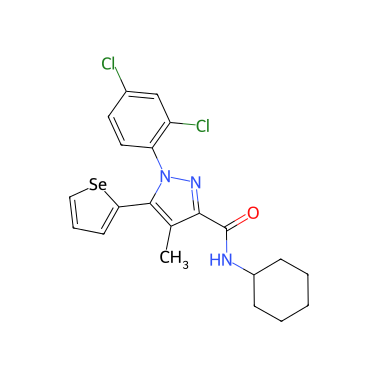 Cc1c(C(=O)NC2CCCCC2)nn(-c2ccc(Cl)cc2Cl)c1-c1ccc[se]1